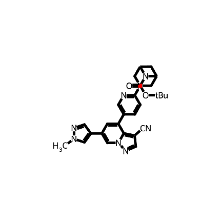 Cn1cc(-c2cc(-c3ccc(N4CC5CC(C4)N5C(=O)OC(C)(C)C)nc3)c3c(C#N)cnn3c2)cn1